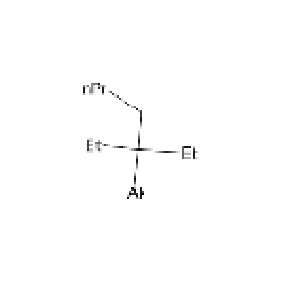 CCCC[C]([Al])(CC)CC